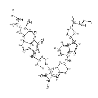 CCNC(=O)[C@@H]1CC[C@H](n2cnc3c(N[C@H]4CC[C@H](Nc5c(N[C@H]6CC[C@H](Nc7nc(Cl)nc8c7ncn8[C@@H]7O[C@H](C(=O)NCC)[C@@H](O)[C@H]7O)CC6)c(=O)c5=O)CC4)nc(C)nc32)O1